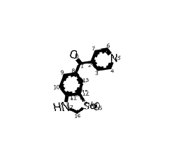 O=C(c1ccncc1)c1ccc2c(c1)[Se](=O)CN2